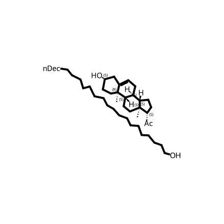 CC(=O)[C@H]1CC[C@H]2[C@@H]3CC=C4C[C@@H](O)CC[C@]4(C)[C@H]3CC[C@]12C.CCCCCCCCCCCCCCCCCCCCCCCCCCCCO